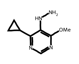 COc1ncnc(C2CC2)c1NN